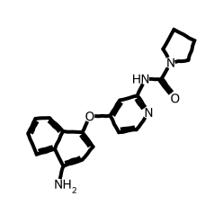 Nc1ccc(Oc2ccnc(NC(=O)N3CCCC3)c2)c2ccccc12